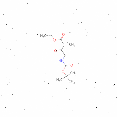 CCOC(=O)[C@H](C)C(=O)CNC(=O)OC(C)(C)C